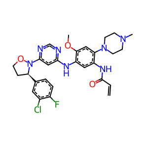 C=CC(=O)Nc1cc(Nc2cc(N3OCC[C@@H]3c3ccc(F)c(Cl)c3)ncn2)c(OC)cc1N1CCN(C)CC1